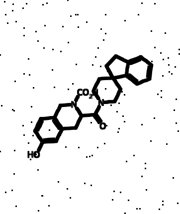 O=C(C1Cc2cc(O)ccc2CN1C(=O)O)N1CCC2(CCc3ccccc32)CC1